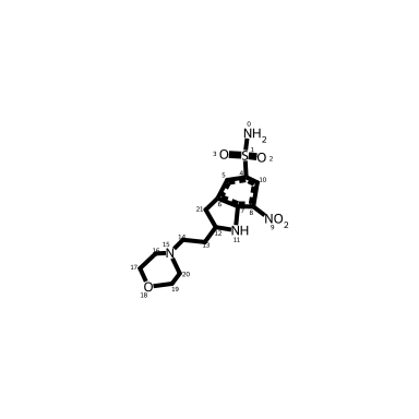 NS(=O)(=O)c1cc2c(c([N+](=O)[O-])c1)NC(CCN1CCOCC1)C2